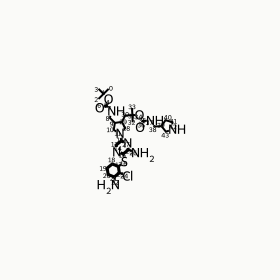 CC(C)(C)OC(=O)NCC1CN(c2cnc(Sc3cccc(N)c3Cl)c(N)n2)CC1CC(C)(C)OC(=O)NCC1CCNC1